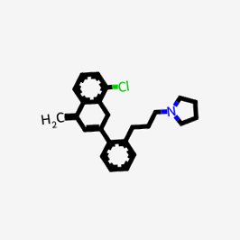 C=C1C=C(c2ccccc2CCCN2CCCC2)Cc2c(Cl)cccc21